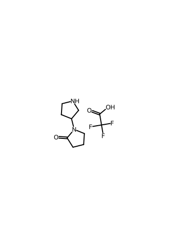 O=C(O)C(F)(F)F.O=C1CCCN1C1CCNC1